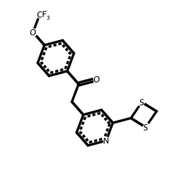 O=C(Cc1ccnc(C2SCS2)c1)c1ccc(OC(F)(F)F)cc1